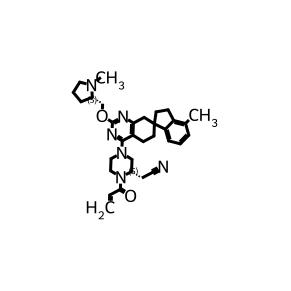 C=CC(=O)N1CCN(c2nc(OC[C@@H]3CCCN3C)nc3c2CCC2(CCc4c(C)cccc42)C3)C[C@@H]1CC#N